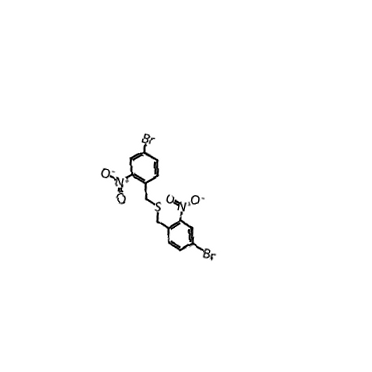 O=[N+]([O-])c1cc(Br)ccc1CSCc1ccc(Br)cc1[N+](=O)[O-]